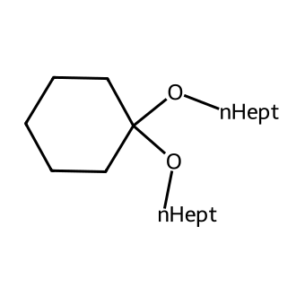 CCCCCCCOC1(OCCCCCCC)CCCCC1